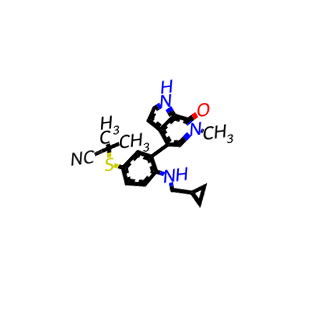 Cn1cc(-c2cc(SC(C)(C)C#N)ccc2NCC2CC2)c2cc[nH]c2c1=O